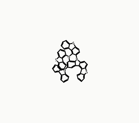 c1ccc2c(c1)sc1cccc(N3c4cc(-n5c6ccccc6c6ccccc65)cc5c4B(c4ccc6sc7ccccc7c6c4-5)c4ccc5sc6ccccc6c5c43)c12